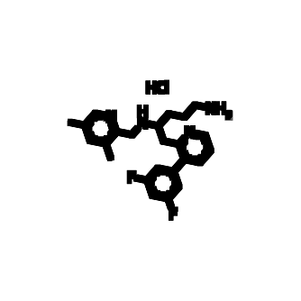 Cc1cnc(CNC(CCCN)Cc2ncccc2-c2cc(F)cc(F)c2)c(C)c1.Cl